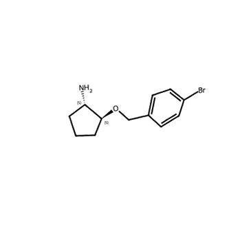 N[C@H]1CCC[C@@H]1OCc1ccc(Br)cc1